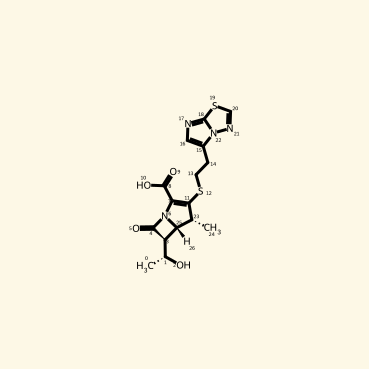 C[C@@H](O)[C@H]1C(=O)N2C(C(=O)O)=C(SCCc3cnc4scnn34)[C@H](C)[C@H]12